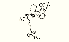 Cn1c(C(=O)O)c([C@]2(C(N)=O)CCCC[C@H]2C(=O)N[C@H](C#N)CCCCNC(=O)C(C)(C)C)c2ccccc21